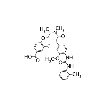 COc1cc(CC(=O)N(C)[C@@H](C)COc2ccc(C(=O)O)cc2Cl)ccc1NC(=O)Nc1ccccc1C